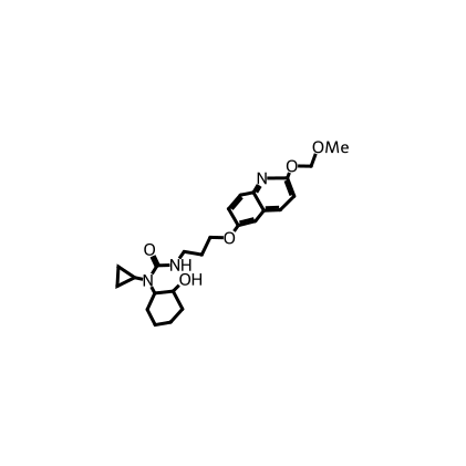 COCOc1ccc2cc(OCCCNC(=O)N(C3CC3)C3CCCCC3O)ccc2n1